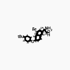 CC(C)(C)C1CCC(Oc2ccc3cc([C@@](C)(N)CO)ccc3c2)CC1.[Fe]